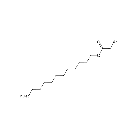 CCCCCCCCCCCCCCCCCCCCCOC(=O)CC(C)=O